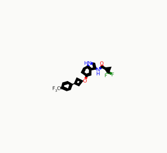 O=C(Nc1c[nH]c2ccc(O[C@H]3C[C@H](c4ccc(C(F)(F)F)cc4)C3)cc12)C1CC1(F)F